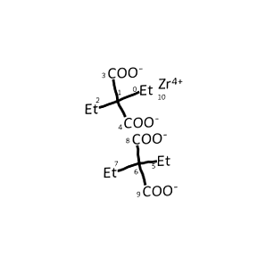 CCC(CC)(C(=O)[O-])C(=O)[O-].CCC(CC)(C(=O)[O-])C(=O)[O-].[Zr+4]